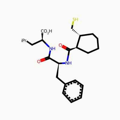 CC(C)C[C@H](NC(=O)[C@H](Cc1ccccc1)NC(=O)[C@@H]1CCCC[C@H]1CS)C(=O)O